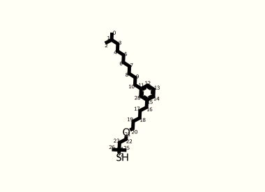 CC(C)CCCCCCCCc1cccc(CCCCCOCCC(C)(C)S)c1